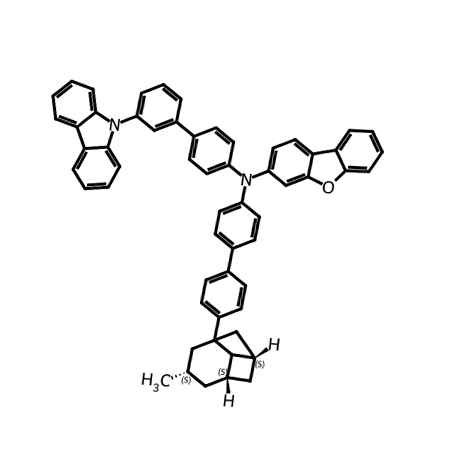 C[C@H]1C[C@H]2C[C@H]3CC(c4ccc(-c5ccc(N(c6ccc(-c7cccc(-n8c9ccccc9c9ccccc98)c7)cc6)c6ccc7c(c6)oc6ccccc67)cc5)cc4)(C1)C23